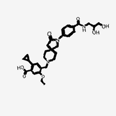 CCOc1cc(C(=O)O)c(C2CC2)cc1CN1CCC2(CC1)CC(=O)N(c1ccc(C(=O)NCC(O)CO)cc1)C2